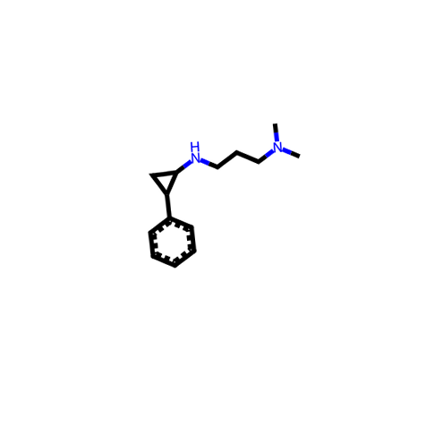 CN(C)CCCNC1CC1c1ccccc1